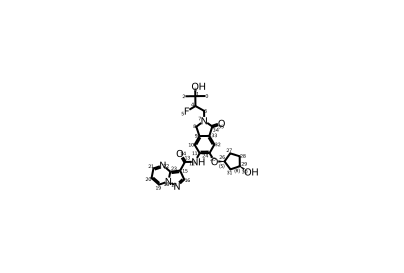 CC(C)(O)C(F)CN1Cc2cc(NC(=O)c3cnn4cccnc34)c(O[C@H]3CC[C@@H](O)C3)cc2C1=O